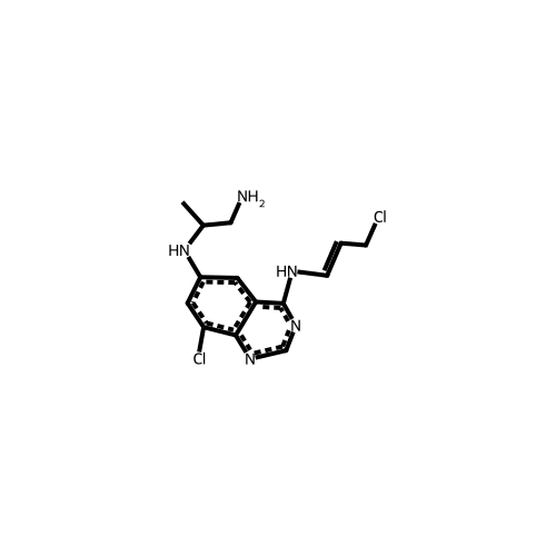 CC(CN)Nc1cc(Cl)c2ncnc(N/C=C/CCl)c2c1